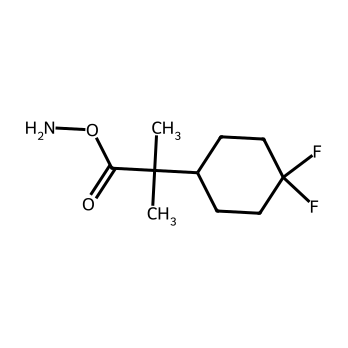 CC(C)(C(=O)ON)C1CCC(F)(F)CC1